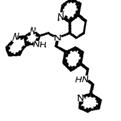 c1ccc(CNCc2ccc(CN(Cc3nc4ncccc4[nH]3)C3CCCc4cccnc43)cc2)nc1